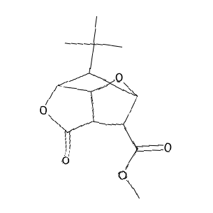 COC(=O)C1C2OC3C(OC(=O)C31)C2C(C)(C)C